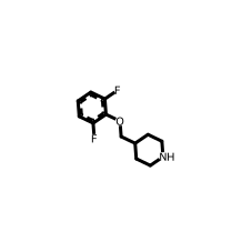 Fc1cccc(F)c1OCC1CCNCC1